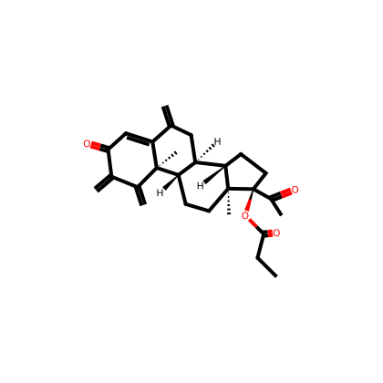 C=C1C[C@@H]2[C@H](CC[C@@]3(C)[C@H]2CC[C@]3(OC(=O)CC)C(C)=O)[C@@]2(C)C(=C)C(=C)C(=O)C=C12